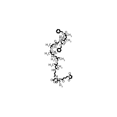 CCC(C)(CNC(=O)CC(C)(C)COCC(C)(C)CNC(=O)CC[C@H](NC(=O)C(C)(C)CC(C)(C)C(=O)OCc1ccccc1)C(=O)OCc1ccccc1)COCC(C)(CC)CC(=O)NCCCC[C@H](NC(=O)[C@H](C)NC(=O)CCCN1C(=O)C=CC1=O)C(=O)O